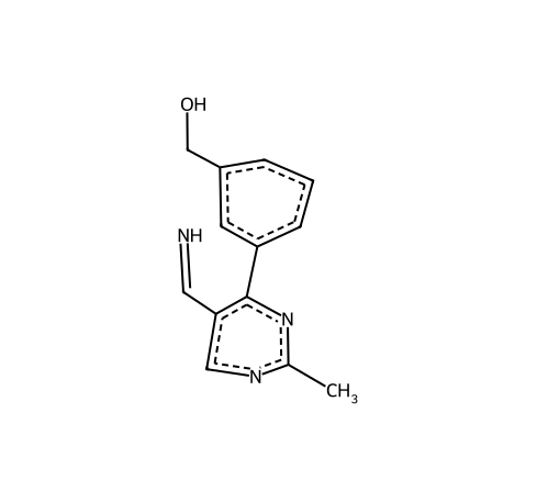 Cc1ncc(C=N)c(-c2cccc(CO)c2)n1